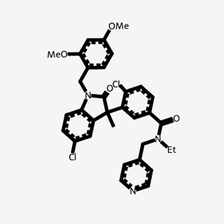 CCN(Cc1ccncc1)C(=O)c1ccc(Cl)c(C2(C)C(=O)N(Cc3ccc(OC)cc3OC)c3ccc(Cl)cc32)c1